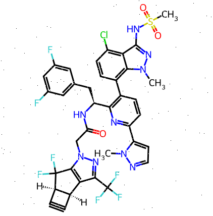 Cn1nccc1-c1ccc(-c2ccc(Cl)c3c(NS(C)(=O)=O)nn(C)c23)c([C@H](Cc2cc(F)cc(F)c2)NC(=O)Cn2nc(C(F)(F)F)c3c2C(F)(F)[C@@H]2C#C[C@H]32)n1